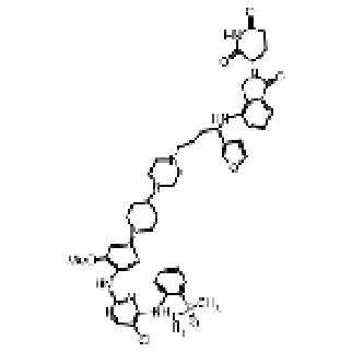 COc1cc(N2CCC(N3CCN(CCCC(Nc4cccc5c4CN(C4CCC(=O)NC4=O)C5=O)c4ccoc4)CC3)CC2)ccc1Nc1ncc(Cl)c(Nc2ccccc2P(C)(C)=O)n1